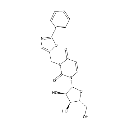 O=c1ccn([C@@H]2O[C@H](CO)[C@@H](O)[C@H]2O)c(=O)n1Cc1cnc(-c2ccccc2)o1